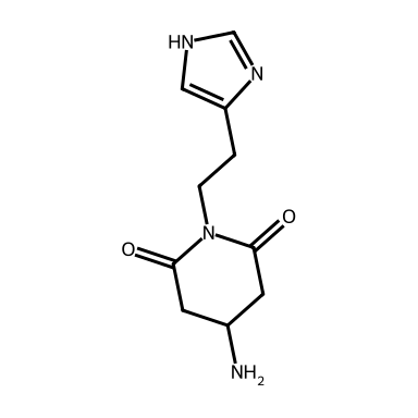 NC1CC(=O)N(CCc2c[nH]cn2)C(=O)C1